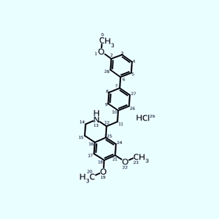 COc1cccc(-c2ccc(CC3NCCc4cc(OC)c(OC)cc43)cc2)c1.Cl